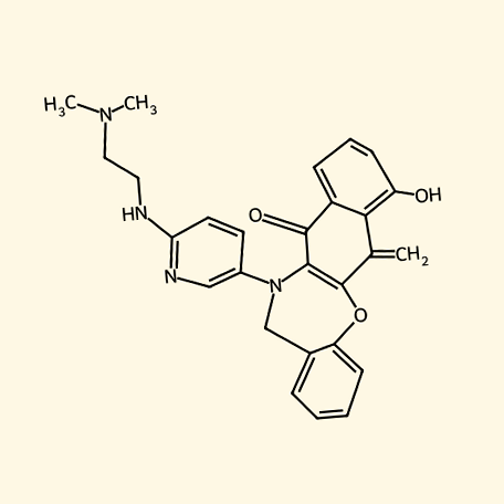 C=C1C2=C(C(=O)c3cccc(O)c31)N(c1ccc(NCCN(C)C)nc1)Cc1ccccc1O2